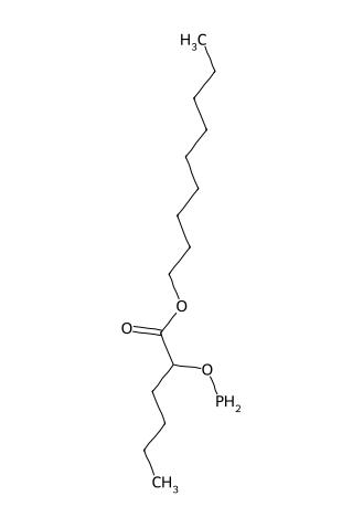 CCCCCCCCCOC(=O)C(CCCC)OP